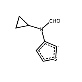 O=CN(c1[c]scc1)C1CC1